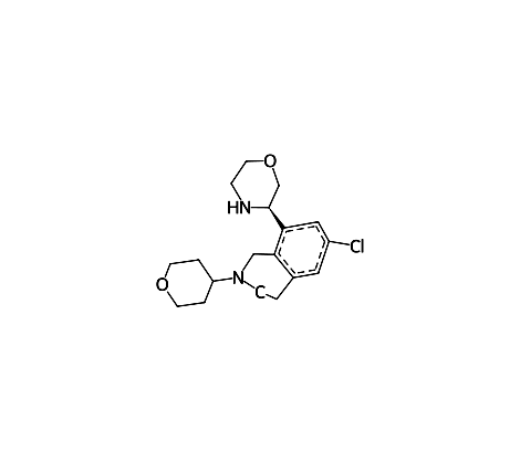 Clc1cc2c(c([C@@H]3COCCN3)c1)CN(C1CCOCC1)CC2